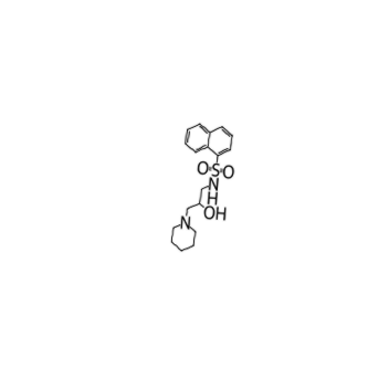 O=S(=O)(NCC(O)CN1CCCCC1)c1cccc2ccccc12